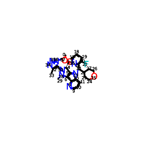 COC(=O)[C@@H]1c2c(c3ncccc3n2C(c2ncccc2F)C2CCOCC2)N(C)N1c1c(C)nnn1C